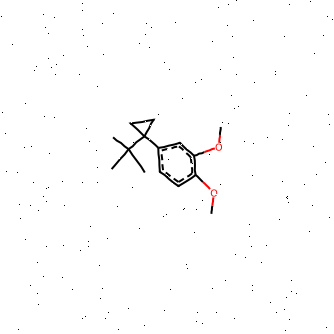 COc1ccc(C2(C(C)(C)C)CC2)cc1OC